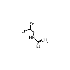 C=C(CC)NCC(CC)CC